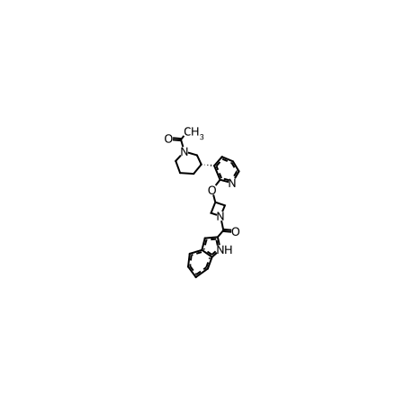 CC(=O)N1CCC[C@@H](c2cccnc2OC2CN(C(=O)c3cc4ccccc4[nH]3)C2)C1